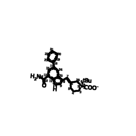 CC(C)(C)[N+]1(C(=O)[O-])CCC/C(=C\c2c[nH]c3c(C(N)=O)cc(-c4ccccc4)cc23)C1